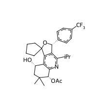 CC(=O)O[C@H]1c2nc(C(C)C)c3c(c2[C@@H](O)CC1(C)C)C1(CCCC1)O[C@@H]3c1ccc(C(F)(F)F)cc1